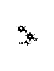 C[C@H](CO)Oc1cc(OCc2ccccc2)ccc1Br